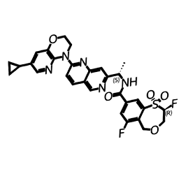 C[C@H](NC(=O)c1cc(F)c2c(c1)S(=O)(=O)[C@@H](F)COC2)c1cc2nc(N3CCOc4cc(C5CC5)cnc43)ccc2cn1